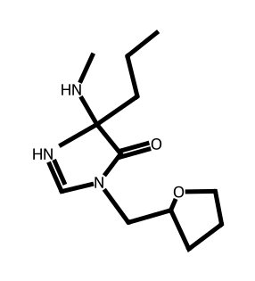 CCCC(C)(NC)C(=O)N(C=N)CC1CCCO1